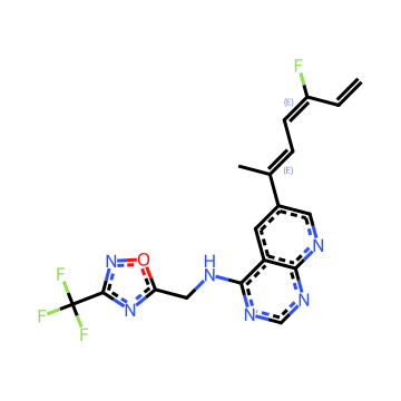 C=C/C(F)=C\C=C(/C)c1cnc2ncnc(NCc3nc(C(F)(F)F)no3)c2c1